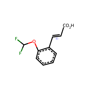 O=C(O)/C=C/c1ccccc1OC(F)F